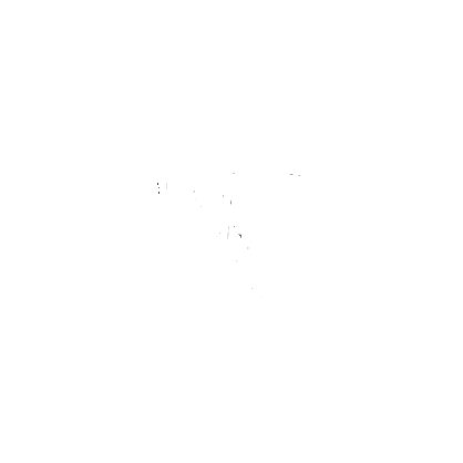 CN(C(=O)[C@H](CC(C)(C)c1ccccc1)NC(=O)Oc1cc[nH]c1)C1C(=O)COC1C(N)=O